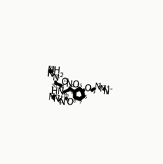 [N-]=[N+]=NCOc1ccc(OCN=[N+]=[N-])c(C(CNC(=O)CN=NN)N=O)c1